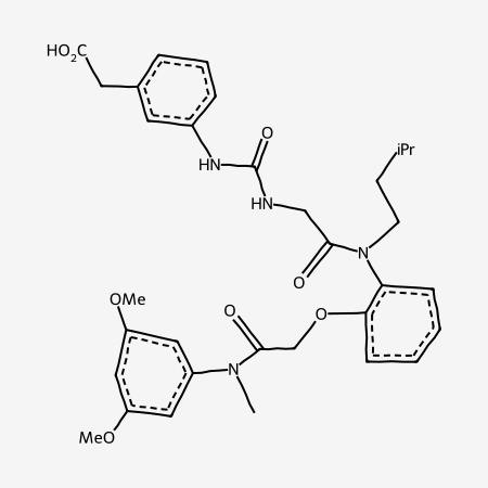 COc1cc(OC)cc(N(C)C(=O)COc2ccccc2N(CCC(C)C)C(=O)CNC(=O)Nc2cccc(CC(=O)O)c2)c1